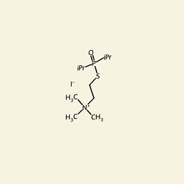 CC(C)P(=O)(SCC[N+](C)(C)C)C(C)C.[I-]